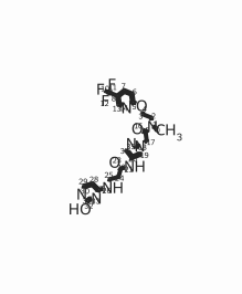 CN(CCOc1ccc(C(F)(F)F)cn1)C(=O)Cn1cc(NC(=O)CCNc2ccnc(O)n2)cn1